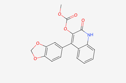 COC(=O)Oc1c(-c2ccc3c(c2)OCO3)c2ccccc2[nH]c1=O